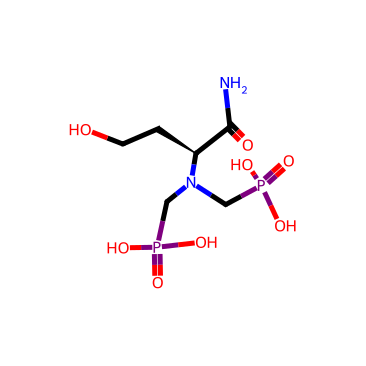 NC(=O)[C@H](CCO)N(CP(=O)(O)O)CP(=O)(O)O